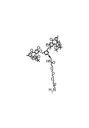 COc1cc2c(cc1OCc1cc(C#CCNC(=O)CCOCCOCCOCCOCCN)cc(COc3cc4c(cc3OC)C(=O)N3C=C(C)C[C@H]3[C@H](O[Si](C)(C)C(C)(C)C)N4C(=O)OC(C)(C)C)c1)N(C(=O)OC(C)(C)C)[C@@H](O)[C@@H]1CC(C)=CN1C2=O